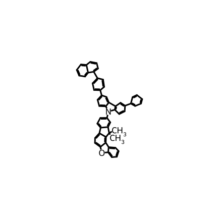 CC1(C)c2cc(-n3c4ccc(-c5ccccc5)cc4c4cc(-c5ccc(-c6cccc7ccccc67)cc5)ccc43)ccc2-c2ccc3oc4ccccc4c3c21